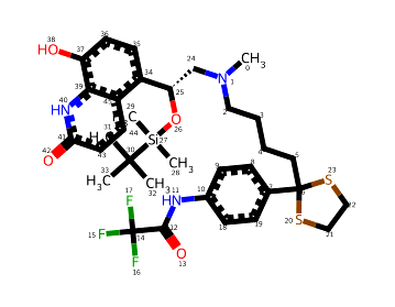 CN(CCCCC1(c2ccc(NC(=O)C(F)(F)F)cc2)SCCS1)C[C@H](O[Si](C)(C)C(C)(C)C)c1ccc(O)c2[nH]c(=O)ccc12